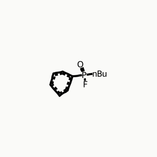 CCCCP(=O)(F)c1ccccc1